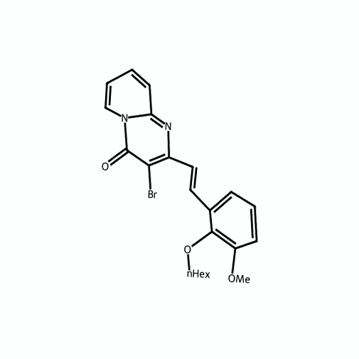 CCCCCCOc1c(C=Cc2nc3ccccn3c(=O)c2Br)cccc1OC